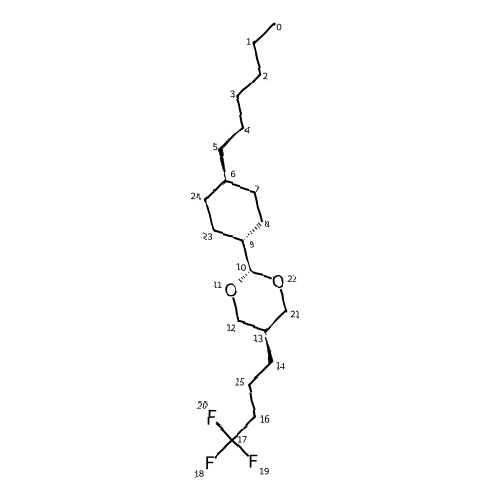 CCCCCC[C@H]1CC[C@H]([C@H]2OC[C@H](CCCC(F)(F)F)CO2)CC1